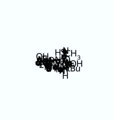 CCc1cccc2cc(O)cc(-c3ncc4c(N5CC6CCC(C5)N6)nc(OCCC5CC(CC6CNCCN6N6C=CN=C(C(=O)N[C@H](C(=O)N7C[C@H](O)C[C@H]7C(=O)N[C@@H](C)c7ccc(-c8scnc8C)cc7)C(C)(C)C)C6)CCN5)nc4c3F)c12